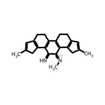 C/N=C1\C(=N)C2=C(CCC3=C2CC(C)=C3)C2=C1C1=C(C=C(C)C1)CC2